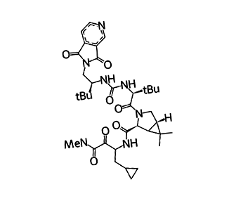 CNC(=O)C(=O)C(CC1CC1)NC(=O)[C@@H]1C2[C@H](CN1C(=O)[C@@H](NC(=O)N[C@H](CN1C(=O)c3ccncc3C1=O)C(C)(C)C)C(C)(C)C)C2(C)C